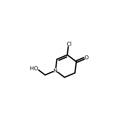 O=C1CCN(CO)C=C1Cl